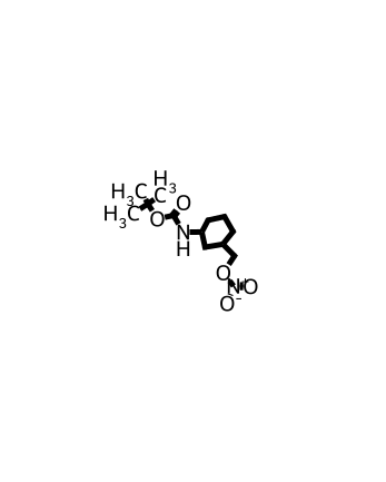 CC(C)(C)OC(=O)NC1CCCC(CO[N+](=O)[O-])C1